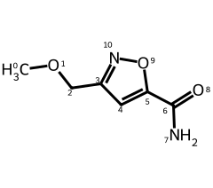 COCc1cc(C(N)=O)on1